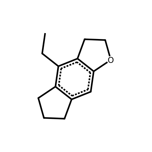 CCc1c2c(cc3c1CCO3)CCC2